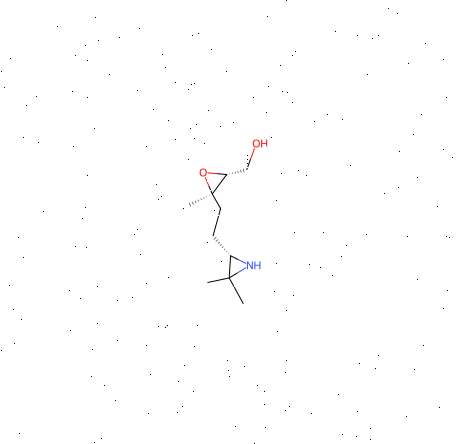 CC1(C)N[C@H]1CC[C@@]1(C)O[C@@H]1CO